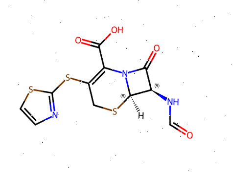 O=CN[C@@H]1C(=O)N2C(C(=O)O)=C(Sc3nccs3)CS[C@H]12